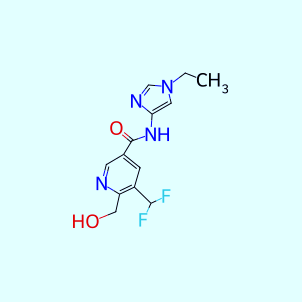 CCn1cnc(NC(=O)c2cnc(CO)c(C(F)F)c2)c1